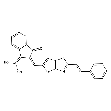 N#CC(C#N)=C1/C(=C/c2cc3sc(/C=C/c4ccccc4)nc3o2)C(=O)c2ccccc21